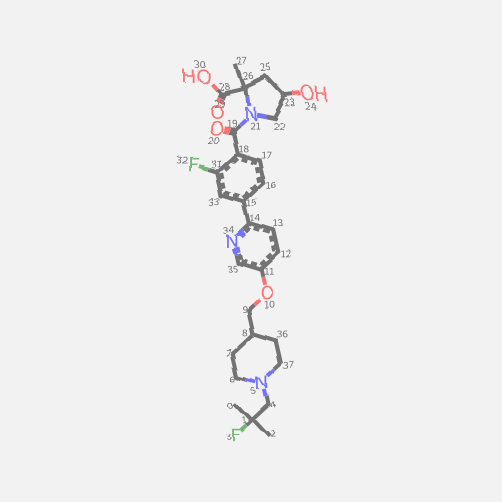 CC(C)(F)CN1CCC(COc2ccc(-c3ccc(C(=O)N4CC(O)CC4(C)C(=O)O)c(F)c3)nc2)CC1